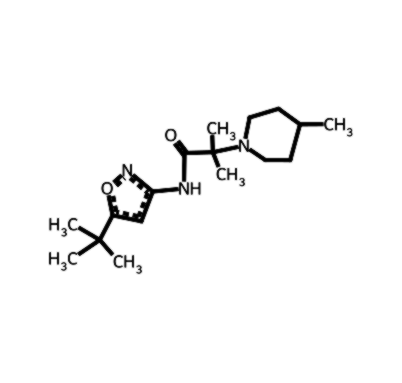 CC1CCN(C(C)(C)C(=O)Nc2cc(C(C)(C)C)on2)CC1